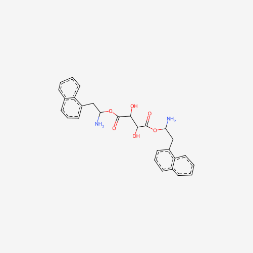 NC(Cc1cccc2ccccc12)OC(=O)C(O)C(O)C(=O)OC(N)Cc1cccc2ccccc12